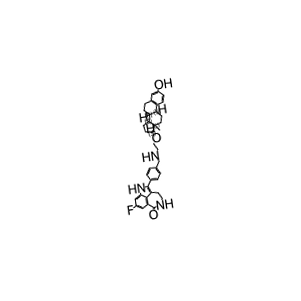 C[C@]12CC[C@@H]3c4ccc(O)cc4CC[C@H]3[C@@H]1CC[C@@H]2OCCNCc1ccc(-c2[nH]c3cc(F)cc4c3c2CCNC4=O)cc1